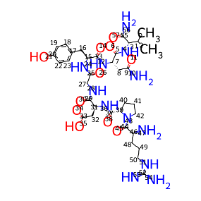 CC(C)[C@H](NC(=O)[C@H](CC(N)=O)NC(=O)[C@H](Cc1ccc(O)cc1)NC(=O)CNC(=O)[C@H](CC(=O)O)NC(=O)[C@@H]1CCCN1C(=O)[C@@H](N)CCCNC(=N)N)C(N)=O